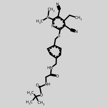 CCc1c(C#N)c(SCc2ccc(CNC(=O)CNC(=O)OC(C)(C)C)cc2)nc(N(C)C)c1C#N